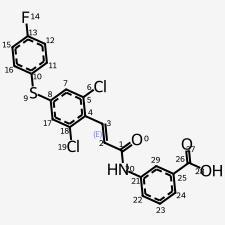 O=C(/C=C/c1c(Cl)cc(Sc2ccc(F)cc2)cc1Cl)Nc1cccc(C(=O)O)c1